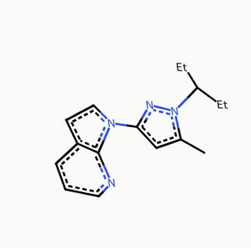 CCC(CC)n1nc(-n2ccc3cccnc32)cc1C